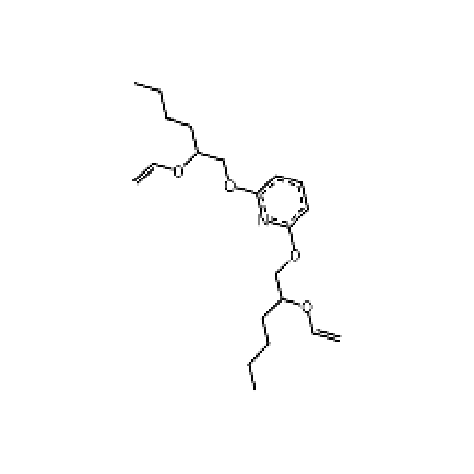 C=COC(CCCC)COc1cccc(OCC(CCCC)OC=C)n1